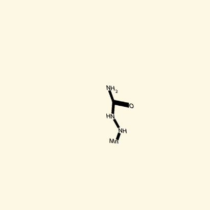 NC(=O)N[NH][Mn]